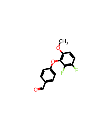 COc1ccc(F)c(F)c1Oc1ccc(C=O)cc1